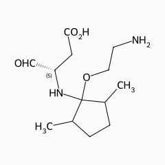 CC1CCC(C)C1(N[C@H](C=O)CC(=O)O)OCCN